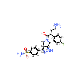 NCCC(C(=O)N1Cc2[nH]nc(-c3ccc(S(N)(=O)=O)cc3)c2C1)c1ccc(F)cc1